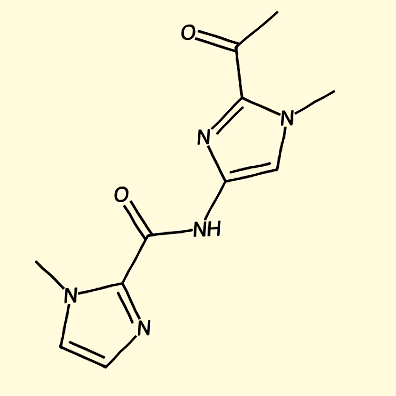 CC(=O)c1nc(NC(=O)c2nccn2C)cn1C